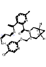 C=C(/N=C\C=C/N)c1ccc(C)nc1C(=O)N1C[C@@H]2C[C@@H]2C[C@H]1COc1ccc(Cl)cn1